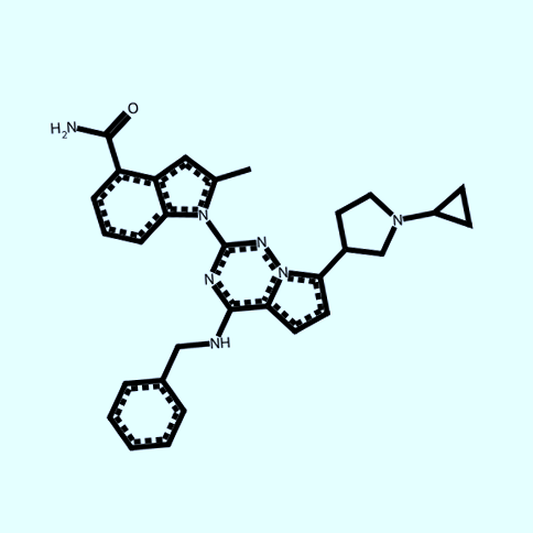 Cc1cc2c(C(N)=O)cccc2n1-c1nc(NCc2ccccc2)c2ccc(C3CCN(C4CC4)C3)n2n1